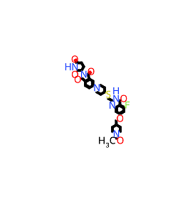 CC(=O)N1CCC(COc2cc(F)c3c(=O)[nH]c(CSC4CCN(c5ccc6c(c5)C(=O)N(C5CCC(=O)NC5=O)C6=O)CC4)nc3c2)CC1